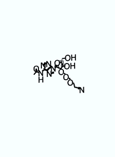 CC(=O)Nc1ncnc2c1ncn2[C@@H]1O[C@H](CO)[C@H](O)C1OCOCOCCC#N